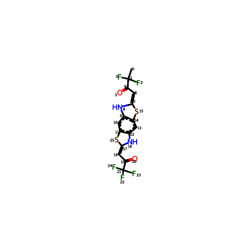 CC(F)(F)C(=O)/C=C1\Nc2cc3c(cc2S1)N/C(=C\C(=O)C(F)(F)F)S3